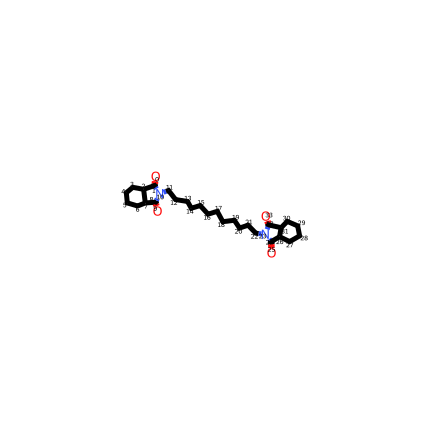 O=C1C2CCCCC2C(=O)N1CCCCCCCCCCCCN1C(=O)C2CCCCC2C1=O